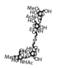 CC[C@@H]1O[C@@H](CO)[C@@H](COC[C@@H]2OC(CO)[C@@H](COC)C(O)C2NC(C)=O)C(O)C1NC(=O)CCSSCCC(=O)N[C@H]1C(O)[C@H](COC[C@@H]2OC(CO)[C@@H](COC)[C@@H](O)C2NC(C)=O)C(CO)O[C@H]1CC